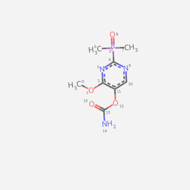 COc1nc(P(C)(C)=O)ncc1OC(N)=O